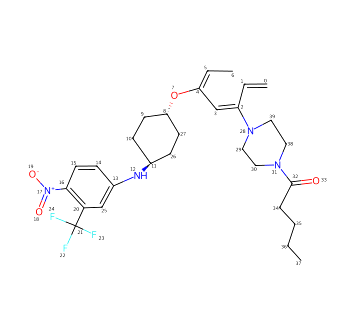 C=C/C(=C\C(=C/C)O[C@H]1CC[C@H](Nc2ccc([N+](=O)[O-])c(C(F)(F)F)c2)CC1)N1CCN(C(=O)CCCC)CC1